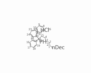 CCCCCCCCCCCCCCC(c1ccccc1)C(P)(c1ccccc1)c1ccccc1.Cl